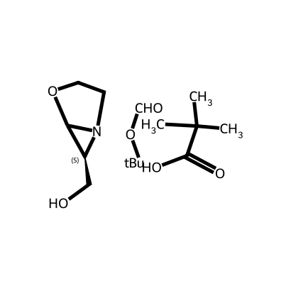 CC(C)(C)C(=O)O.CC(C)(C)OC=O.OC[C@H]1C2OCCN21